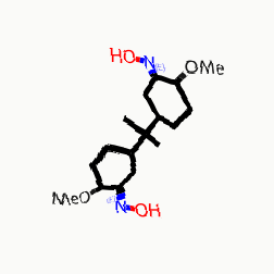 COC1CCC(C(C)(C)C2CCC(OC)/C(=N/O)C2)C/C1=N\O